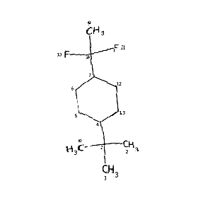 CC(C)(C)C1CCC(C(C)(F)F)CC1